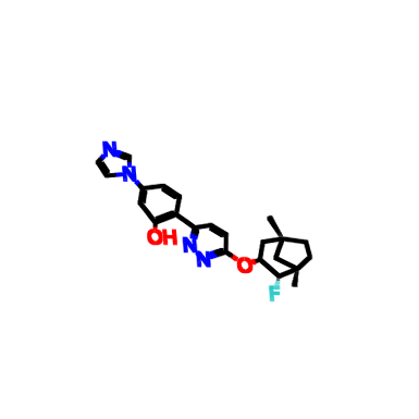 C[C@@]12CC[C@@](C)(C1)[C@H](F)[C@@H](Oc1ccc(-c3ccc(-n4ccnc4)cc3O)nn1)C2